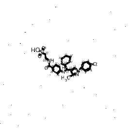 Cc1nn(-c2ccc(Cl)cc2)cc1C(Nc1ccc(C(=O)NCCS(=O)(=O)O)cc1)C1CCCCC1